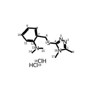 Cc1nnc(SCc2ccccc2N(C)C)n1C.Cl.Cl